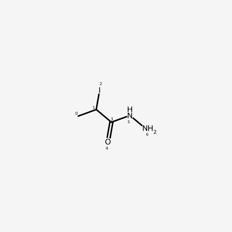 CC(I)C(=O)NN